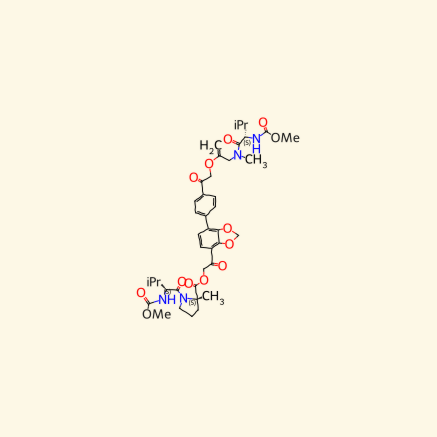 C=C(CN(C)C(=O)[C@@H](NC(=O)OC)C(C)C)OCC(=O)c1ccc(-c2ccc(C(=O)COC(=O)[C@]3(C)CCCN3C(=O)[C@@H](NC(=O)OC)C(C)C)c3c2OCO3)cc1